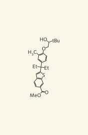 CCC(CC)(c1ccc(OCC(O)C(C)(C)C)c(C)c1)c1cc2ccc(C(=O)OC)cc2s1